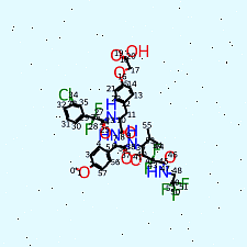 COc1ccc(C(NC(=O)C(Cc2ccc(OCC(=O)O)cc2)NC(=O)C(F)(F)c2cccc(Cl)c2)C(=O)N[C@H](C(=O)C(F)(F)C(=O)NCC(F)(F)F)C(C)C)cc1